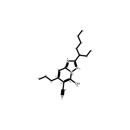 CCCCC(CC)c1nc2cc(CCC)c(C#N)c(O)n2n1